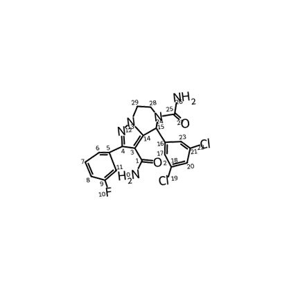 NC(=O)c1c(-c2cccc(F)c2)nn2c1C(c1cc(Cl)cc(Cl)c1)N(C(N)=O)CC2